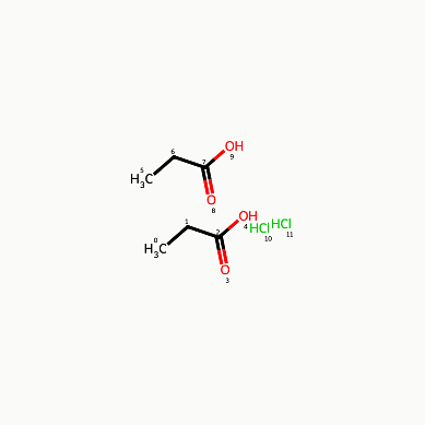 CCC(=O)O.CCC(=O)O.Cl.Cl